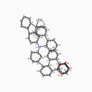 CC1(C)c2ccccc2-c2ccc(N(c3cccc(-c4cccc(-c5ccccc5)c4-c4ccccc4-c4ccccc4)c3)c3ccccc3-c3ccccc3)cc21